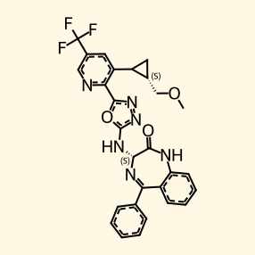 COC[C@H]1CC1c1cc(C(F)(F)F)cnc1-c1nnc(N[C@H]2N=C(c3ccccc3)c3ccccc3NC2=O)o1